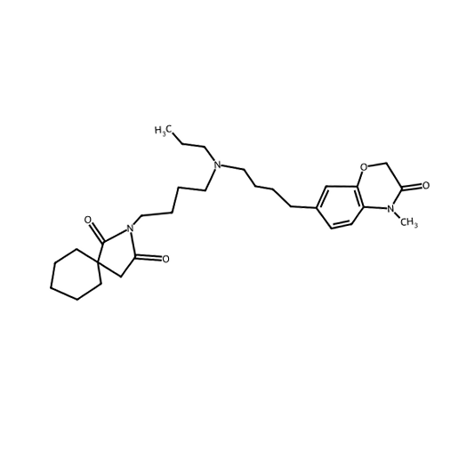 CCCN(CCCCc1ccc2c(c1)OCC(=O)N2C)CCCCN1C(=O)CC2(CCCCC2)C1=O